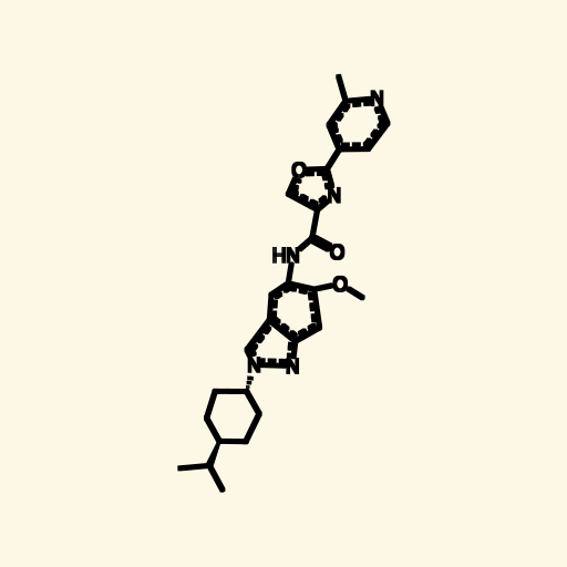 COc1cc2nn([C@H]3CC[C@H](C(C)C)CC3)cc2cc1NC(=O)c1coc(-c2ccnc(C)c2)n1